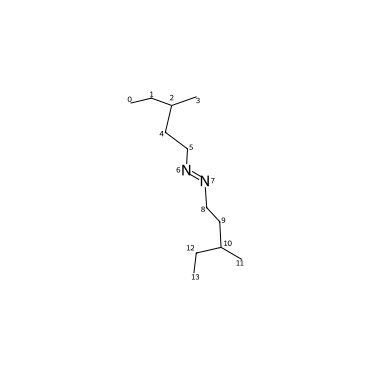 CCC(C)CCN=NCCC(C)CC